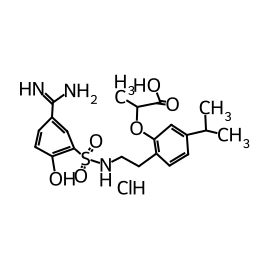 CC(Oc1cc(C(C)C)ccc1CCNS(=O)(=O)c1cc(C(=N)N)ccc1O)C(=O)O.Cl